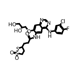 O=C(CCC1CCS(=O)(=O)S1)Nc1cc2c(Nc3ccc(F)c(Cl)c3)ncnc2cc1OCC(O)CO